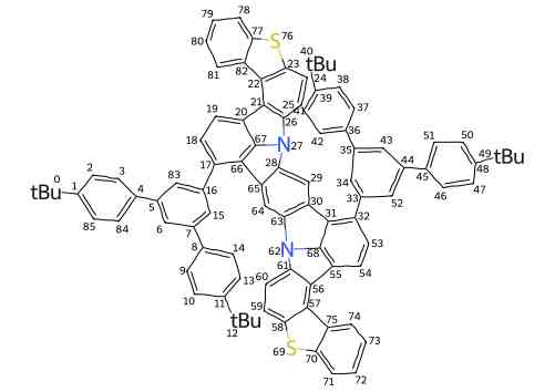 CC(C)(C)c1ccc(-c2cc(-c3ccc(C(C)(C)C)cc3)cc(-c3ccc4c5c6c(ccc5n5c7cc8c9c(-c%10cc(-c%11ccc(C(C)(C)C)cc%11)cc(-c%11ccc(C(C)(C)C)cc%11)c%10)ccc%10c%11c%12c(ccc%11n(c8cc7c3c45)c%109)sc3ccccc3%12)sc3ccccc36)c2)cc1